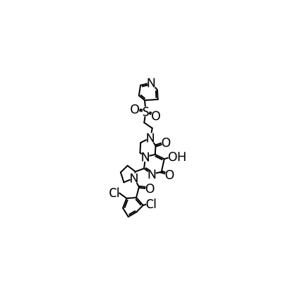 O=C1c2c(O)c(=O)nc(C3CCCN3C(=O)c3c(Cl)cccc3Cl)n2CCN1CCS(=O)(=O)c1ccncc1